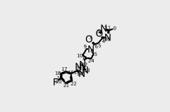 Cc1noc(CC(=O)N2CCC(n3nnc(-c4ccc(F)cc4)n3)CC2)n1